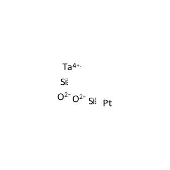 [O-2].[O-2].[Pt].[Si].[Si].[Ta+4]